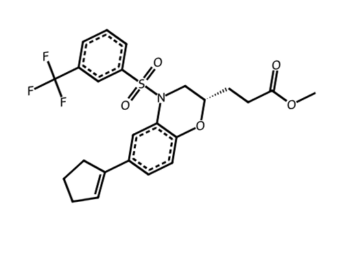 COC(=O)CC[C@H]1CN(S(=O)(=O)c2cccc(C(F)(F)F)c2)c2cc(C3=CCCC3)ccc2O1